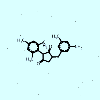 Cc1cc(C)cc(CC2CC(=O)C(c3c(C)cc(C)cc3C)C2=O)c1